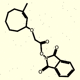 C/C1=C/C(OCC(=O)ON2C(=O)c3ccccc3C2=O)CCCCC1